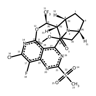 CC(C)(C)OC(=O)N1[C@@H]2CC[C@H]1[C@H]1[C@H](C(F)(F)F)Oc3nc(Cl)c(F)c4nc(S(C)(=O)=O)nc(c34)N1C2